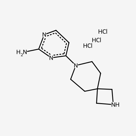 Cl.Cl.Cl.Nc1nccc(N2CCC3(CC2)CNC3)n1